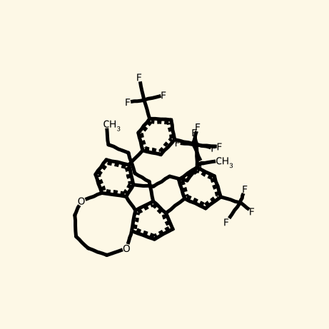 CCCCCc1c(-c2cc(C(F)(F)F)cc(C(F)(F)F)c2)ccc2c1-c1c(ccc(-c3cc(C(F)(F)F)cc(C(F)(F)F)c3)c1CCCCC)OCCCCO2